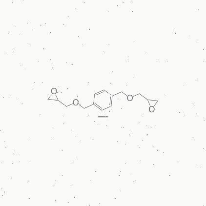 C=C.c1cc(COCC2CO2)ccc1COCC1CO1